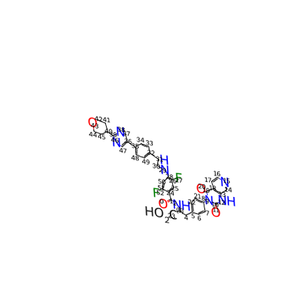 O=C(N[C@@H](Cc1ccc(-n2c(=O)[nH]c3cnccc3c2=O)cc1)C(=O)O)c1cc(F)c(NCCc2ccc(-c3cnc(C4CCOCC4)nc3)cc2)cc1F